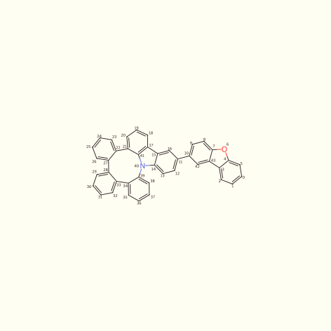 c1ccc2c(c1)oc1ccc(-c3ccc4c(c3)c3cccc5c6ccccc6c6ccccc6c6ccccc6n4c53)cc12